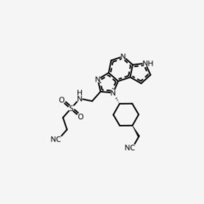 N#CCCS(=O)(=O)NCc1nc2cnc3[nH]ccc3c2n1[C@H]1CC[C@H](CC#N)CC1